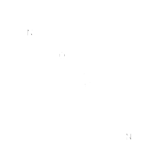 CN(C)c1ccc(C=Cc2cc3ccc(OCCCc4ccccn4)cc3o2)cc1